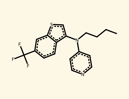 CCCCN(c1ccncc1)c1csc2cc(C(F)(F)F)ccc12